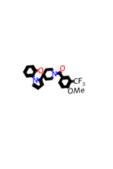 COc1ccc(C(=O)N2CCC3(CC2)Oc2ccccc2-n2cccc23)cc1C(F)(F)F